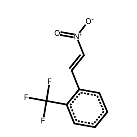 O=[N+]([O-])C=Cc1ccccc1C(F)(F)F